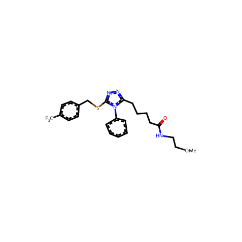 COCCNC(=O)CCCCc1nnc(SCc2ccc(C(F)(F)F)cc2)n1-c1ccccc1